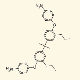 CCCc1cc(C(C)(C)c2ccc(Oc3ccc(N)cc3)c(CCC)c2)ccc1Oc1ccc(N)cc1